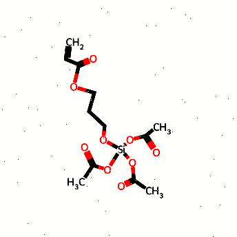 C=CC(=O)OCCCO[Si](OC(C)=O)(OC(C)=O)OC(C)=O